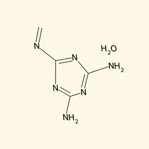 C=Nc1nc(N)nc(N)n1.O